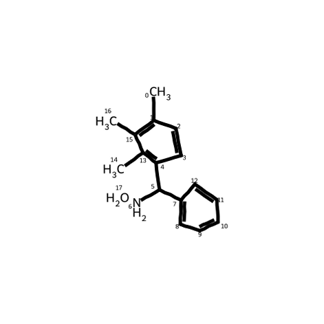 Cc1ccc(C(N)c2ccccc2)c(C)c1C.O